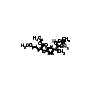 CCOC(=O)C(CCCOC)Oc1ccc(N(C)C(=O)OC(C)(C)C)cc1